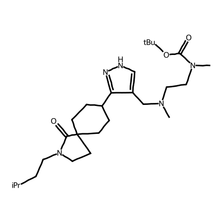 CC(C)CCN1CCC2(CCC(c3n[nH]cc3CN(C)CCN(C)C(=O)OC(C)(C)C)CC2)C1=O